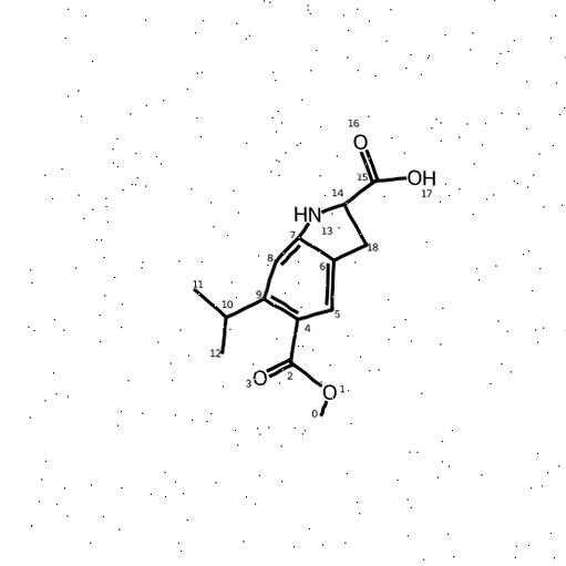 COC(=O)c1cc2c(cc1C(C)C)NC(C(=O)O)C2